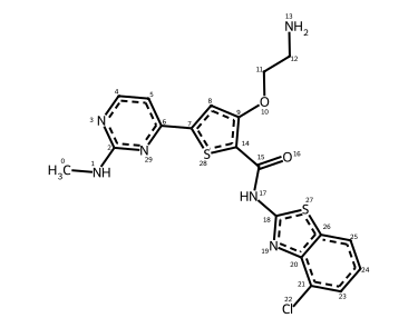 CNc1nccc(-c2cc(OCCN)c(C(=O)Nc3nc4c(Cl)cccc4s3)s2)n1